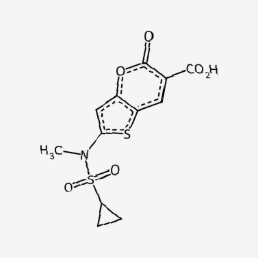 CN(c1cc2oc(=O)c(C(=O)O)cc2s1)S(=O)(=O)C1CC1